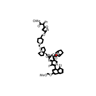 CCc1cccc2cc(OCOC)cc(-c3ncc4c(N5CC6CCC(C5)N6C(=O)OC(C)(C)C)nc(OC[C@@]56CCCN5[C@H](CN5CCC(COc7cc(C(C(=O)OC)C(C)C)on7)CC5)CC6)nc4c3F)c12